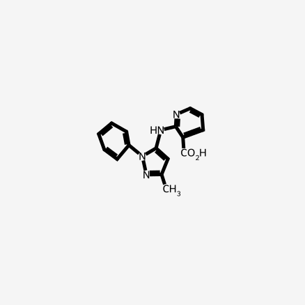 Cc1cc(Nc2ncccc2C(=O)O)n(-c2ccccc2)n1